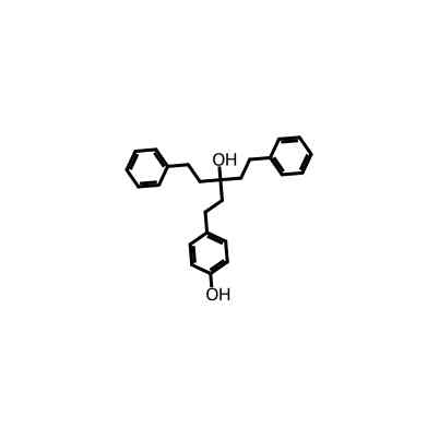 Oc1ccc(CCC(O)(CCc2ccccc2)CCc2ccccc2)cc1